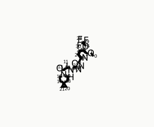 COc1nc(-c2nnc(N[C@H](C)C(=O)N3CCC4(CC3)CC4)o2)ccc1OC(F)(F)F